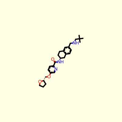 CC(C)(C)CNCc1ccc2c(c1)CC[C@H](NC(=O)c1ccc(OC[C@@H]3CCCO3)cn1)C2